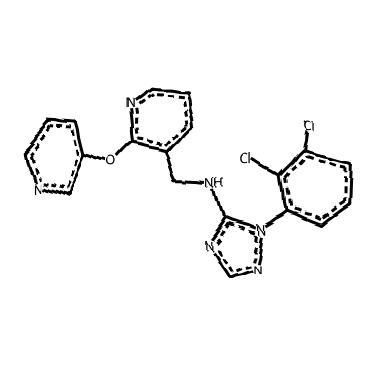 Clc1cccc(-n2ncnc2NCc2cccnc2Oc2cccnc2)c1Cl